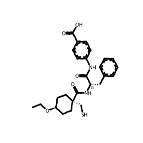 CCO[C@H]1CC[C@@](CS)(C(=O)N[C@@H](Cc2ccccc2)C(=O)Nc2ccc(C(=O)O)cc2)CC1